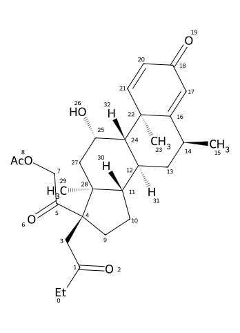 CCC(=O)C[C@]1(C(=O)COC(C)=O)CC[C@H]2[C@@H]3C[C@H](C)C4=CC(=O)C=C[C@]4(C)[C@H]3[C@@H](O)C[C@@]21C